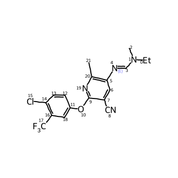 CCN(C)/C=N/c1cc(C#N)c(Oc2ccc(Cl)c(C(F)(F)F)c2)nc1C